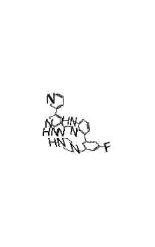 Fc1cc(CN2CCNCC2)cc(-c2cccc3[nH]c(-c4n[nH]c5ncc(-c6cccnc6)cc45)nc23)c1